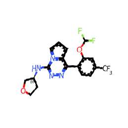 FC(F)Oc1cc(C(F)(F)F)ccc1-c1nnc(N[C@H]2CCOC2)n2cccc12